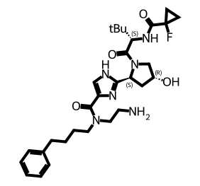 CC(C)(C)[C@H](NC(=O)C1(F)CC1)C(=O)N1C[C@H](O)C[C@H]1c1nc(C(=O)N(CCN)CCCCc2ccccc2)c[nH]1